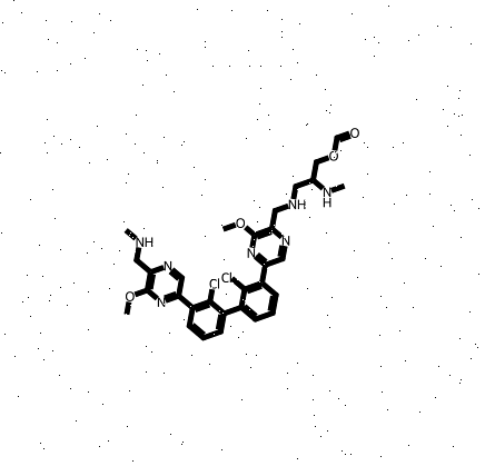 CNCc1ncc(-c2cccc(-c3cccc(-c4cnc(CNCC(COC=O)NC)c(OC)n4)c3Cl)c2Cl)nc1OC